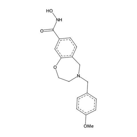 COc1ccc(CN2CCOc3cc(C(=O)NO)ccc3C2)cc1